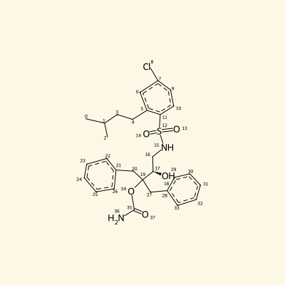 CC(C)CCc1cc(Cl)ccc1S(=O)(=O)NC[C@@H](O)C(Cc1ccccc1)(Cc1ccccc1)OC(N)=O